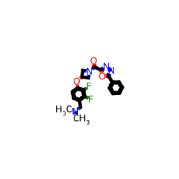 CN(C)Cc1ccc(OC2CN(C(=O)c3nnc(-c4ccccc4)o3)C2)c(F)c1F